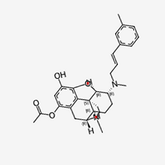 CC(=O)Oc1cc(O)c2c3c1C[C@@H]1[C@@H]4CC[C@@H](N(C)CC=Cc5cccc(C)c5)[C@H](O2)[C@]34CCN1C